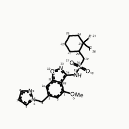 COc1cc(Cn2cccn2)cc2onc(NS(=O)(=O)CC3CCCCC3(F)F)c12